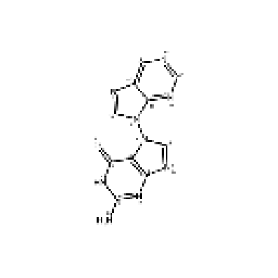 Nc1nc2c(c(=O)[nH]1)N(n1cnc3cncnc31)C=[N+]2